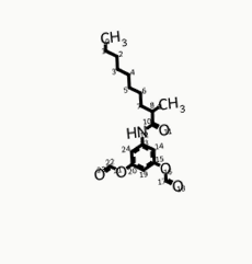 CCCCCCCCC(C)C(=O)Nc1cc(OC=O)cc(OC=O)c1